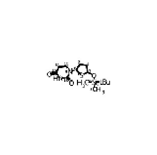 CC(C)(C)[Si](C)(C)OC1CC[C@H](n2ccc(=O)[nH]c2=O)S1